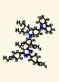 C=C/C=c1\c(=C/C)n(-c2cc(C)c(-c3cc(-c4ccc(C)cc4)nc(-c4ccc(C)cc4)n3)c(C)c2)c2ccc(-n3c4ccccc4c4ccccc43)cc12